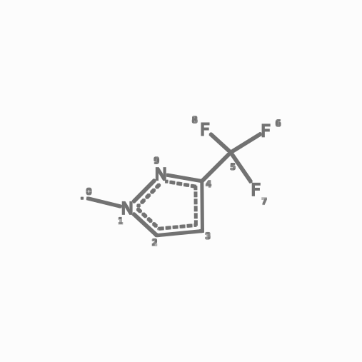 [CH2]n1ccc(C(F)(F)F)n1